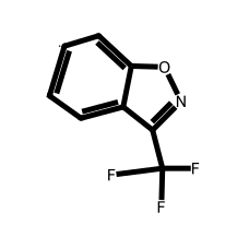 FC(F)(F)c1noc2c[c]ccc12